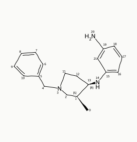 C[C@H]1CN(Cc2ccccc2)CC[C@H]1Nc1cccc(N)c1